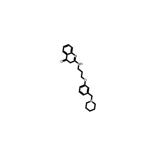 O=C1CC(NCCCOc2cccc(CN3CCCCC3)c2)=Nc2ccccc21